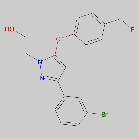 OCCn1nc(-c2cccc(Br)c2)cc1Oc1ccc(CF)cc1